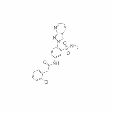 NS(=O)(=O)c1cc(NC(=O)Cc2ccccc2Cl)ccc1-n1cc2cccnc2n1